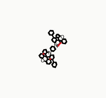 c1ccc(-c2ccc3c(c2)C2(c4ccccc4Oc4ccccc42)c2ccccc2N3c2ccc(N3c4ccccc4C4(c5ccccc5Oc5ccccc54)c4cc(-c5ccccc5)ccc43)cc2)cc1